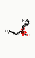 CC/C=C\C/C=C\C/C=C\C/C=C\C/C=C\C/C=C\CCC(=O)OC[C@H](COP(=O)(O)OC[C@@H](O)CO)OC(=O)CCCCCCC/C=C\CCCCCCCCC